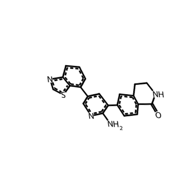 Nc1ncc(-c2cccc3ncsc23)cc1-c1ccc2c(c1)CCNC2=O